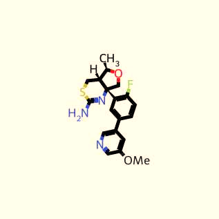 COc1cncc(-c2ccc(F)c([C@]34CO[C@H](C)[C@H]3CSC(N)=N4)c2)c1